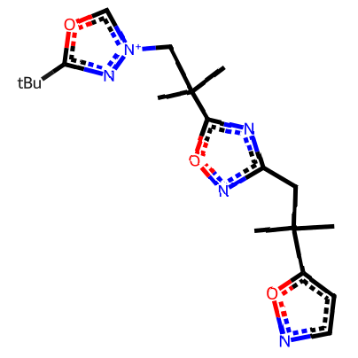 CC(C)(C)c1n[n+](CC(C)(C)c2nc(CC(C)(C)c3ccno3)no2)co1